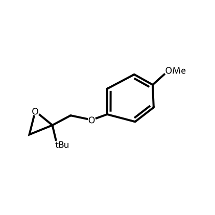 COc1ccc(OCC2(C(C)(C)C)CO2)cc1